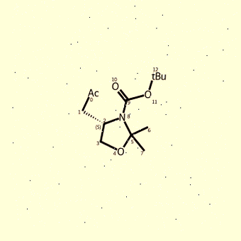 CC(=O)C[C@H]1COC(C)(C)N1C(=O)OC(C)(C)C